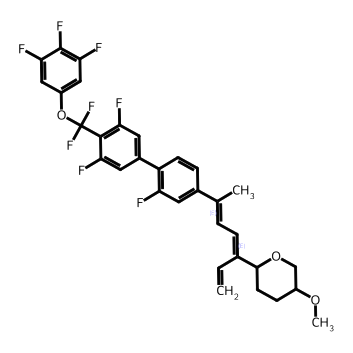 C=C/C(=C\C=C(/C)c1ccc(-c2cc(F)c(C(F)(F)Oc3cc(F)c(F)c(F)c3)c(F)c2)c(F)c1)C1CCC(OC)CO1